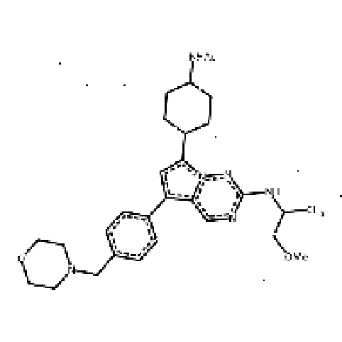 COCC(C)Nc1ncc2c(-c3ccc(CN4CCOCC4)cc3)cc(C3CCC(NC(C)=O)CC3)n2n1